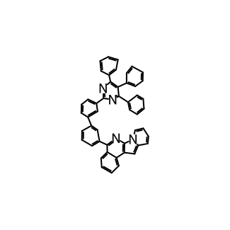 c1ccc(-c2nc(-c3cccc(-c4cccc(-c5nc6c(cc7ccccn76)c6ccccc56)c4)c3)nc(-c3ccccc3)c2-c2ccccc2)cc1